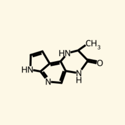 CC1Nc2c(cnc3[nH]ccc23)NC1=O